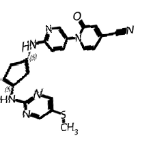 CSc1cnc(N[C@H]2CC[C@H](Nc3ccc(-n4ccc(C#N)cc4=O)cn3)C2)nc1